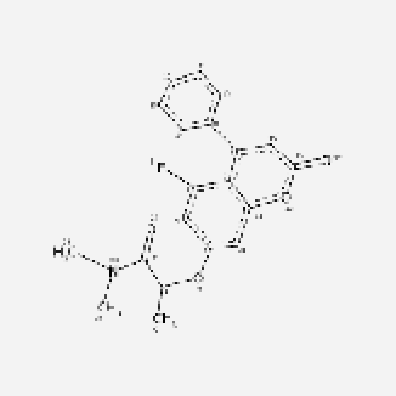 CC(Oc1cc(F)c2c(-c3ccccc3)cc(=O)oc2c1)C(=O)N(C)C